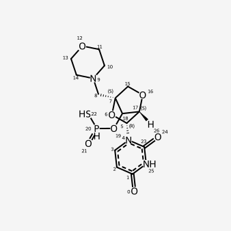 O=c1ccn([C@@H]2O[C@@]3(CN4CCOCC4)CO[C@H]2C3O[PH](=O)S)c(=O)[nH]1